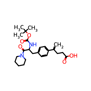 C=C(CCC(=O)O)c1ccc(CC(NC(=O)OC(C)(C)C)C(=O)N2CCCCC2)cc1